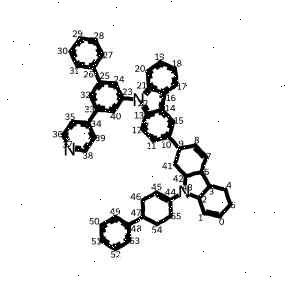 C1=CC2C(CC1)C1C=CC(c3ccc4c(c3)c3ccccc3n4-c3cc(-c4ccccc4)cc(-c4ccncc4)c3)CC1N2C1=CCC(c2ccccc2)CC1